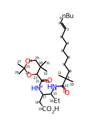 CCCC/C=C/CCCCCCC(C)(C)C(=O)NC(CC)C(CC(=O)O)NC(=O)C1OC(C)(C)OCC1(C)C